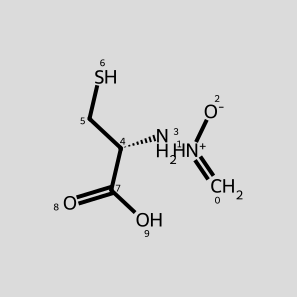 C=[NH+][O-].N[C@@H](CS)C(=O)O